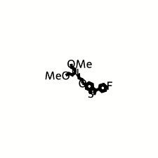 COCCN(CCCOc1ccc2c(-c3ccc(F)cc3)csc2c1)CCOC